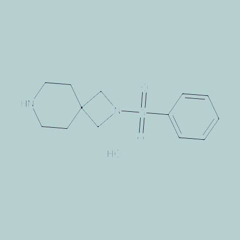 Cl.O=S(=O)(c1ccccc1)N1CC2(CCNCC2)C1